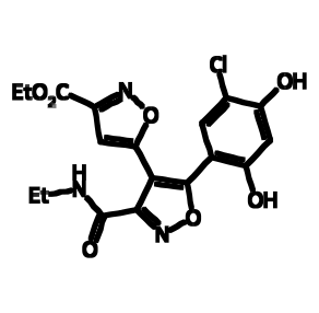 CCNC(=O)c1noc(-c2cc(Cl)c(O)cc2O)c1-c1cc(C(=O)OCC)no1